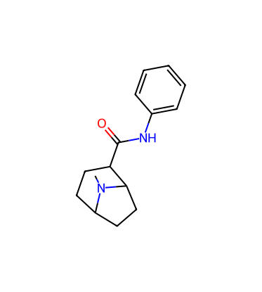 CN1C2CCC(C(=O)Nc3ccccc3)C1CC2